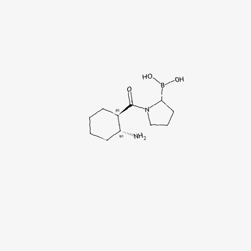 N[C@@H]1CCCC[C@H]1C(=O)N1CCCC1B(O)O